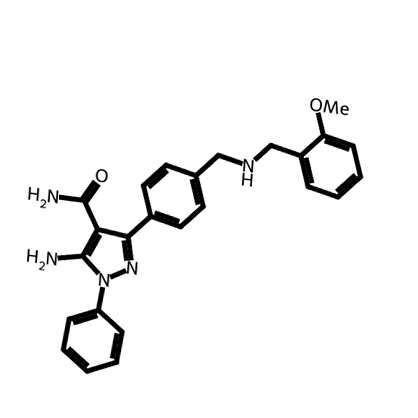 COc1ccccc1CNCc1ccc(-c2nn(-c3ccccc3)c(N)c2C(N)=O)cc1